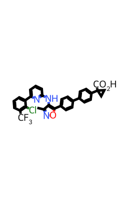 Cc1noc(-c2ccc(-c3ccc(C4(C(=O)O)CC4)cc3)cc2)c1Nc1cccc(-c2cccc(C(F)(F)F)c2Cl)n1